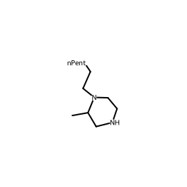 CCCCCCCN1CCNCC1C